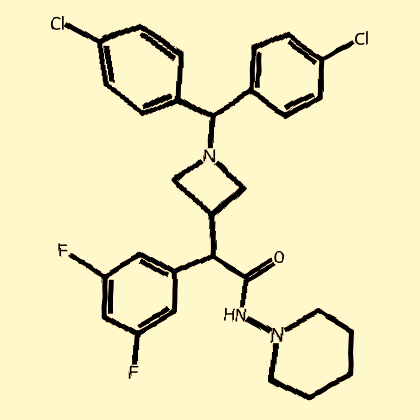 O=C(NN1CCCCC1)C(c1cc(F)cc(F)c1)C1CN(C(c2ccc(Cl)cc2)c2ccc(Cl)cc2)C1